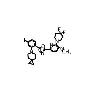 COc1ccc(-c2nnc(-c3ccc(I)cc3N3CCC4(CC3)CC4)o2)nc1N1CCC(F)(F)CC1